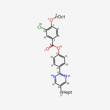 CCCCCCCCOc1ccc(C(=O)Oc2ccc(-c3ncc(CCCCCCC)cn3)cc2)cc1Cl